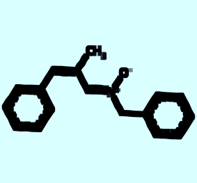 CC(=Cc1ccccc1)C=[N+]([O-])Cc1ccccc1